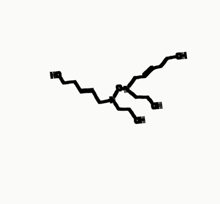 OCCC=CCN(CCO)ON(CC=CCCO)CCO